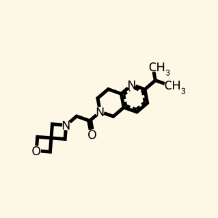 CC(C)c1ccc2c(n1)CCN(C(=O)CN1CC3(COC3)C1)C2